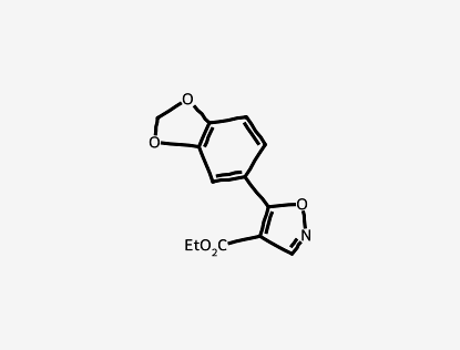 CCOC(=O)c1cnoc1-c1ccc2c(c1)OCO2